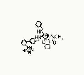 CN(C)C(=O)C(c1ccccc1)n1ccc(NCc2ccccc2)c(NCc2ccc(-c3ccccc3-c3nnn[nH]3)cc2)c1=O